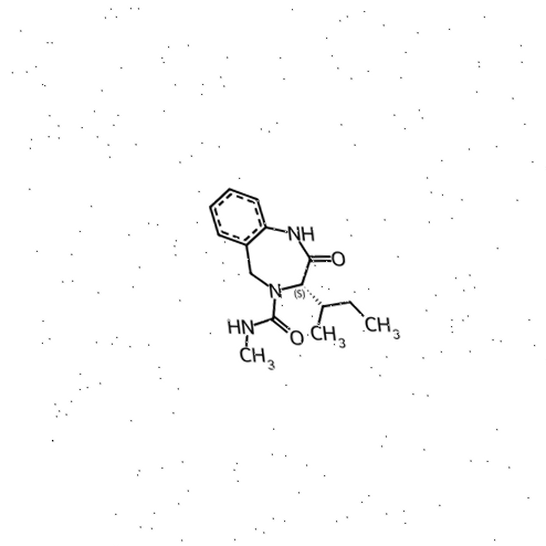 CCC(C)[C@H]1C(=O)Nc2ccccc2CN1C(=O)NC